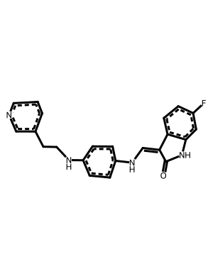 O=C1Nc2cc(F)ccc2C1=CNc1ccc(NCCc2cccnc2)cc1